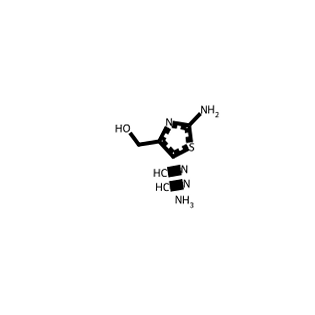 C#N.C#N.N.Nc1nc(CO)cs1